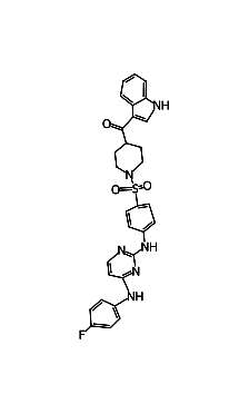 O=C(c1c[nH]c2ccccc12)C1CCN(S(=O)(=O)c2ccc(Nc3nccc(Nc4ccc(F)cc4)n3)cc2)CC1